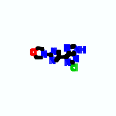 Clc1nc(-c2cnc(N3CCOCC3)nc2)c2nc[nH]c2n1